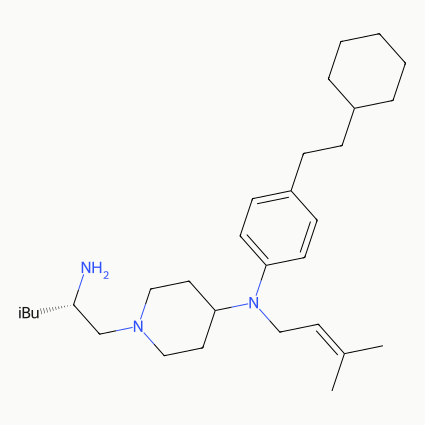 CCC(C)[C@H](N)CN1CCC(N(CC=C(C)C)c2ccc(CCC3CCCCC3)cc2)CC1